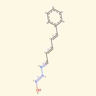 O/N=N/N=C/C=C/C=C/c1ccccc1